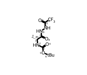 C[C@@H](NC(=O)OC(C)(C)C)C(=O)NNC(=O)C(F)(F)F